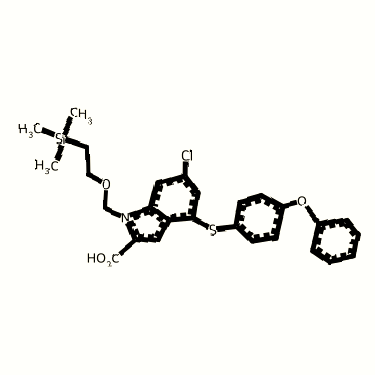 C[Si](C)(C)CCOCn1c(C(=O)O)cc2c(Sc3ccc(Oc4ccccc4)cc3)cc(Cl)cc21